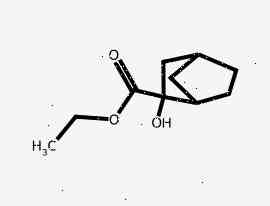 CCOC(=O)C1(O)CC2CCC1C2